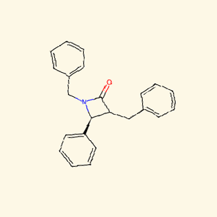 O=C1C(Cc2ccccc2)[C@@H](c2ccccc2)N1Cc1ccccc1